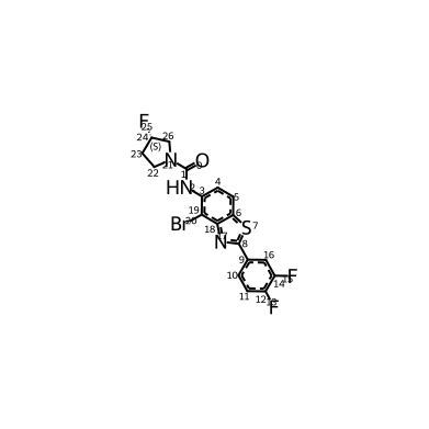 O=C(Nc1ccc2sc(-c3ccc(F)c(F)c3)nc2c1Br)N1CC[C@H](F)C1